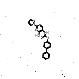 O=C(Nc1cnc(-n2cccn2)nc1O)Oc1ccc(-c2ccccc2)cc1